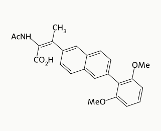 COc1cccc(OC)c1-c1ccc2cc(C(C)=C(NC(C)=O)C(=O)O)ccc2c1